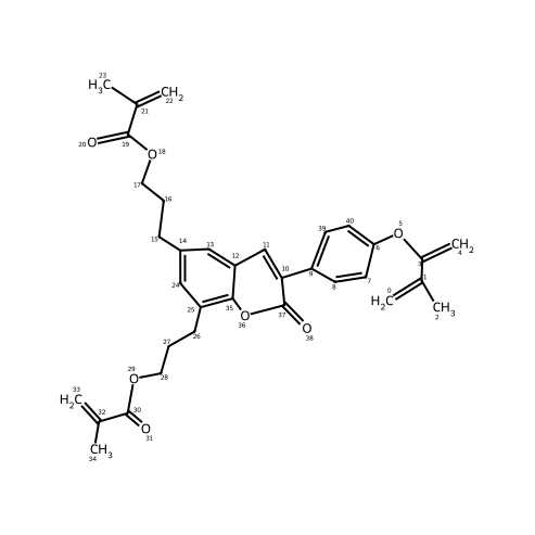 C=C(C)C(=C)Oc1ccc(-c2cc3cc(CCCOC(=O)C(=C)C)cc(CCCOC(=O)C(=C)C)c3oc2=O)cc1